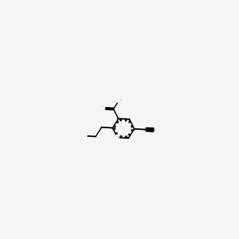 N#Cc1cnc([CH]CO)c(C(N)=O)c1